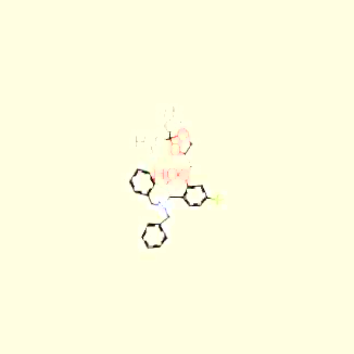 CC1(C)OC[C@H](COc2cc(F)ccc2[C@@H](CO)N(Cc2ccccc2)Cc2ccccc2)O1